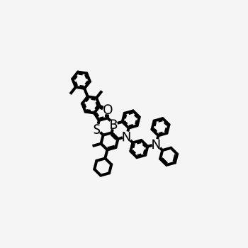 Cc1ccccc1-c1ccc2c3c(oc2c1C)B1C2=C(C=C(C4CCCCC4)C(C)C2S3)N(c2cccc(N(c3ccccc3)C3C=CC=CC3)c2)c2ccccc21